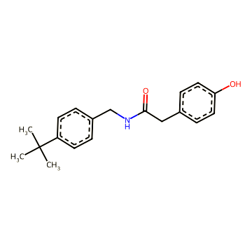 CC(C)(C)c1ccc(CNC(=O)Cc2ccc(O)cc2)cc1